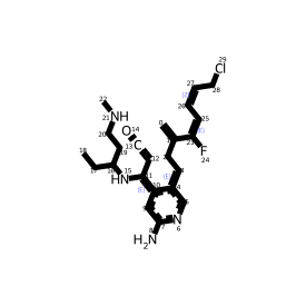 C=C(C/C=c1/cnc(N)c/c1=C(/C=C=O)NC(CC)CCNC)/C(F)=C\C=C/CCl